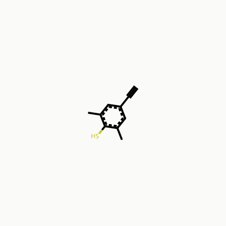 C#Cc1cc(C)c(S)c(C)c1